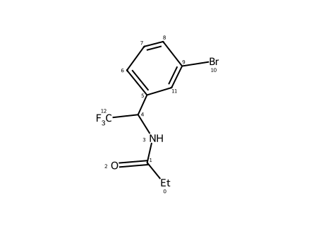 CCC(=O)NC(c1cccc(Br)c1)C(F)(F)F